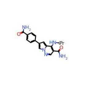 CC(C)Nc1c(C(N)=O)cnn2cc(-c3ccc(C(N)=O)cc3)cc12